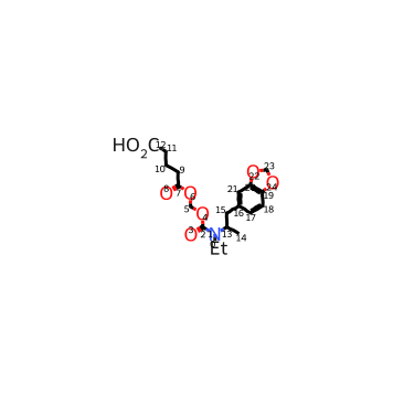 CCN(C(=O)OCOC(=O)CCCC(=O)O)C(C)Cc1ccc2c(c1)OCO2